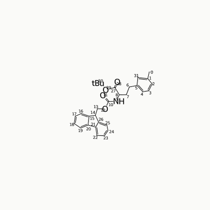 Cc1cccc(CCC(NC(=O)OCC2c3ccccc3-c3ccccc32)C(=O)OC(C)(C)C)c1